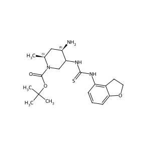 C[C@H]1C[C@@H](N)C(NC(=S)Nc2cccc3c2CCO3)CN1C(=O)OC(C)(C)C